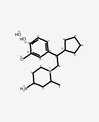 CC1CC(N)CCN1CC(c1cccc(Cl)c1)C1CCCC1.Cl.Cl